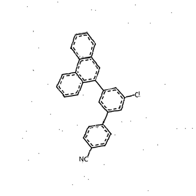 N#Cc1ccc(-c2cc(Cl)cc(-c3cc4ccccc4c4ccccc34)c2)cc1